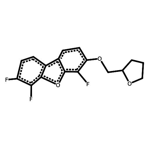 Fc1ccc2c(oc3c(F)c(OCC4CCCO4)ccc32)c1F